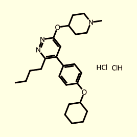 CCCCc1nnc(OC2CCN(C)CC2)cc1-c1ccc(OC2CCCCC2)cc1.Cl.Cl